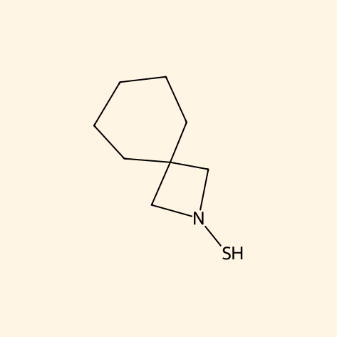 SN1CC2(CCCCC2)C1